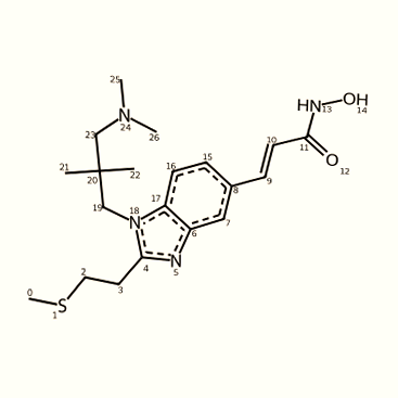 CSCCc1nc2cc(/C=C/C(=O)NO)ccc2n1CC(C)(C)CN(C)C